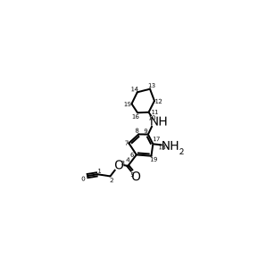 C#CCOC(=O)c1ccc(NC2CCCCC2)c(N)c1